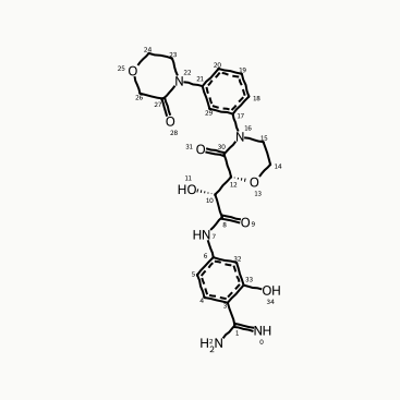 N=C(N)c1ccc(NC(=O)[C@H](O)[C@H]2OCCN(c3cccc(N4CCOCC4=O)c3)C2=O)cc1O